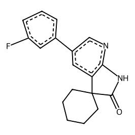 O=C1Nc2ncc(-c3cccc(F)c3)cc2C12CCCCC2